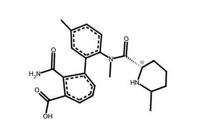 Cc1ccc(N(C)C(=O)[C@@H]2CCCC(C)N2)c(-c2cccc(C(=O)O)c2C(N)=O)c1